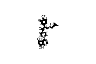 C[C@@H]1C[C@H](O)c2ncnc(N3CCN(C(=O)C(CNCC4CC4)c4ccc(C(F)(F)F)c(F)c4)CC3)c21